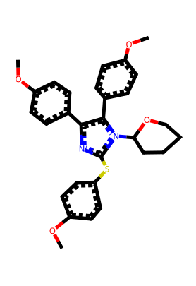 COc1ccc(Sc2nc(-c3ccc(OC)cc3)c(-c3ccc(OC)cc3)n2C2CCCCO2)cc1